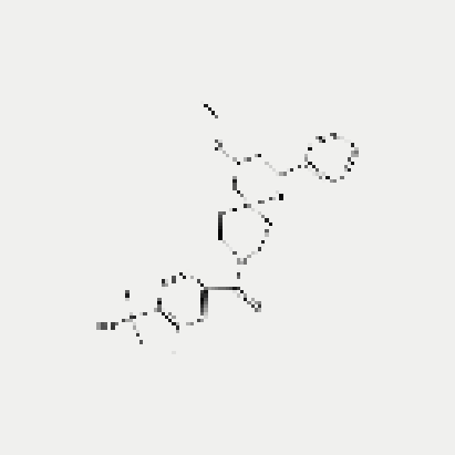 CCOC1CC(c2ccccc2)OC2(CCN(C(=O)c3ccc(C(C)(C)O)c(C)c3)CC2)C1